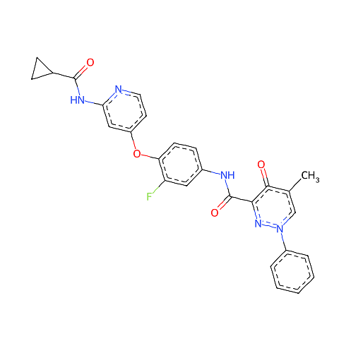 Cc1cn(-c2ccccc2)nc(C(=O)Nc2ccc(Oc3ccnc(NC(=O)C4CC4)c3)c(F)c2)c1=O